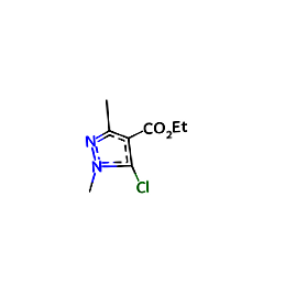 CCOC(=O)c1c(C)nn(C)c1Cl